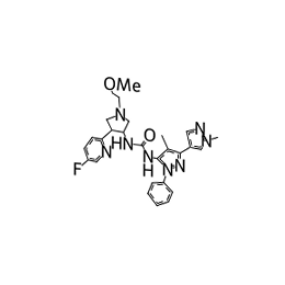 COCCN1CC(NC(=O)Nc2c(C)c(-c3cnn(C)c3)nn2-c2ccccc2)C(c2ccc(F)cn2)C1